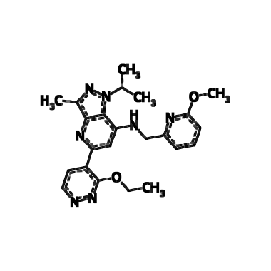 CCOc1nnccc1-c1cc(NCc2cccc(OC)n2)c2c(n1)c(C)nn2C(C)C